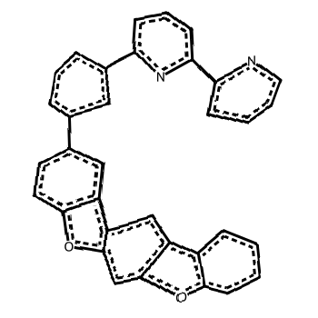 c1ccc(-c2cccc(-c3cccc(-c4ccc5oc6cc7oc8ccccc8c7cc6c5c4)c3)n2)nc1